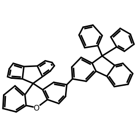 c1ccc(C2(c3ccccc3)c3ccccc3-c3cc(-c4ccc5c(c4)C4(c6ccccc6O5)c5ccccc5-c5ccccc54)ccc32)cc1